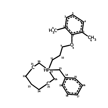 Cc1cccc(C)c1OCCC[PH]1(Cc2ccccc2)CCCCCCC1